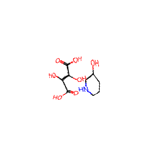 O=C(O)C(O)C(O)C(=O)O.OC1CCCNC1